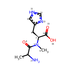 CC(N)C(=O)N(C)[C@@H](Cc1c[nH]cn1)C(=O)O